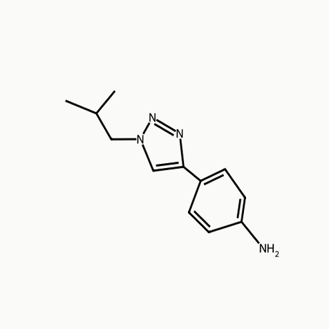 CC(C)Cn1cc(-c2ccc(N)cc2)nn1